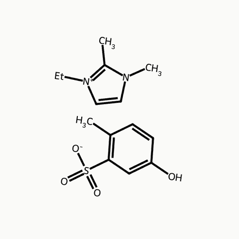 CC[n+]1ccn(C)c1C.Cc1ccc(O)cc1S(=O)(=O)[O-]